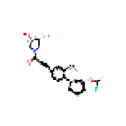 O=C(C#Cc1ccc(-c2cccc(OC(F)F)c2)c(C(F)(F)F)c1)N1C[C@@H](O)[C@H](O)C1